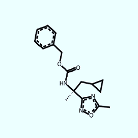 Cc1nc([C@](C)(CC2CC2)NC(=O)OCc2ccccc2)no1